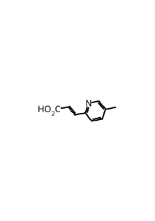 Cc1ccc(C=CC(=O)O)nc1